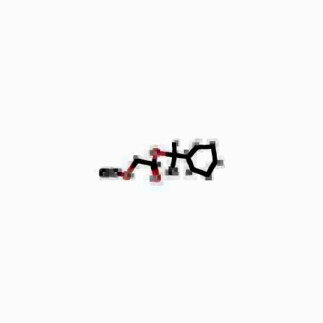 CCC(C)(OC(=O)COC=O)C1CCCCC1